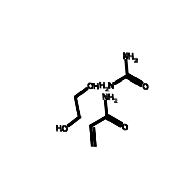 C=CC(N)=O.NC(N)=O.OCCO